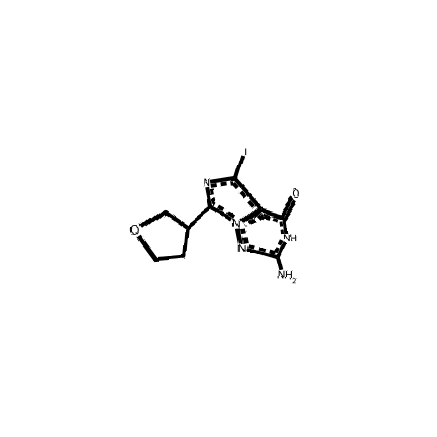 Nc1nn2c(C3CCOC3)nc(I)c2c(=O)[nH]1